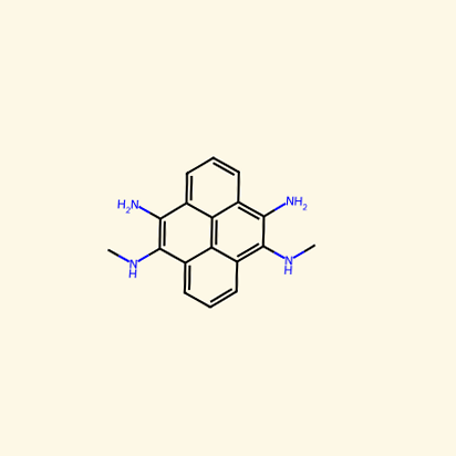 CNc1c(N)c2cccc3c(N)c(NC)c4cccc1c4c23